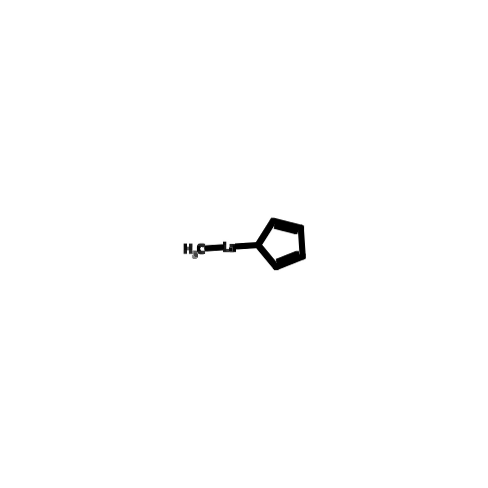 [CH3][La][CH]1C=CC=C1